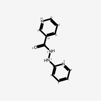 O=C(NNc1ccccn1)c1cccnc1